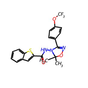 CC1(C)ON=C(c2ccc(OC(F)(F)F)cc2)N1NC(=O)c1cc2ccccc2s1